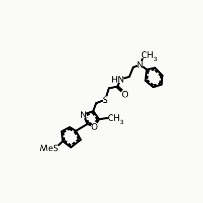 CSc1ccc(-c2nc(CSCC(=O)NCCN(C)c3ccccc3)c(C)o2)cc1